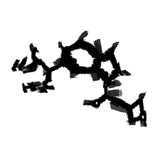 CC(C)c1ccc2cnn(C(=O)C3COC3)c2c1